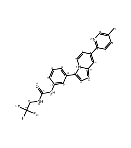 Cc1ccc(-c2ccn3c(-c4cccc(NC(=O)NCC(F)(F)F)c4)cnc3c2)nc1